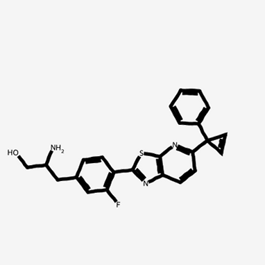 NC(CO)Cc1ccc(-c2nc3ccc(C4(c5ccccc5)C=C4)nc3s2)c(F)c1